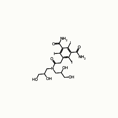 NC(=O)c1c(I)c(CC(=O)N(CC(O)CO)CC(O)CO)c(I)c(C(N)=O)c1I